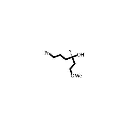 COCC[C@](C)(O)CCCC(C)C